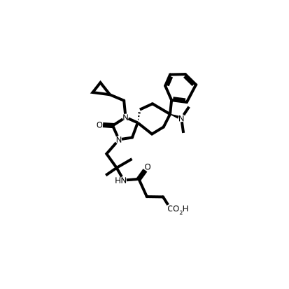 CN(C)[C@]1(c2ccccc2)CC[C@]2(CC1)CN(CC(C)(C)NC(=O)CCC(=O)O)C(=O)N2CC1CC1